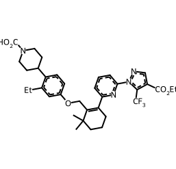 CCOC(=O)c1cnn(-c2cccc(C3=C(COc4ccc(C5CCN(C(=O)O)CC5)c(CC)c4)C(C)(C)CCC3)n2)c1C(F)(F)F